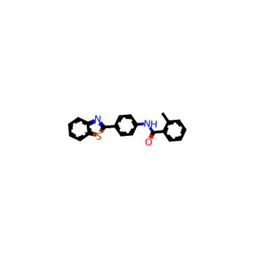 Cc1ccccc1C(=O)Nc1ccc(-c2nc3ccccc3s2)cc1